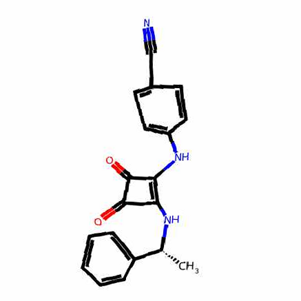 C[C@@H](Nc1c(Nc2ccc(C#N)cc2)c(=O)c1=O)c1ccccc1